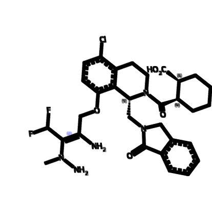 CN(N)/C(=C(\N)COc1ccc(Cl)c2c1[C@@H](CN1Cc3ccccc3C1=O)N(C(=O)[C@@H]1CCCC[C@@H]1C(=O)O)CC2)C(F)F